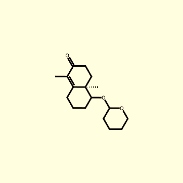 CC1=C2CCCC(OC3CCCCO3)[C@]2(C)CCC1=O